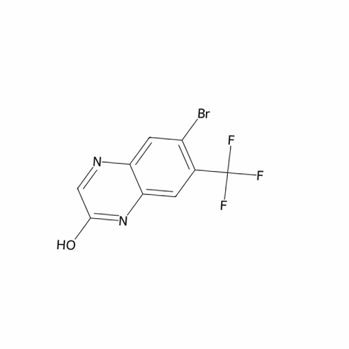 Oc1cnc2cc(Br)c(C(F)(F)F)cc2n1